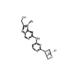 CC(C)n1c(CO)nc2cnc(Nc3ccnc(N4C[C@H]5OCC54)n3)cc21